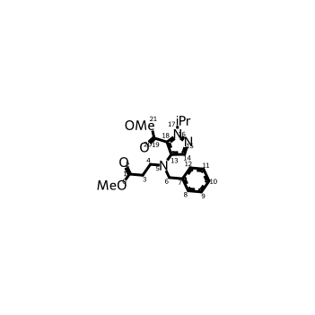 COC(=O)CCN(Cc1ccccc1)c1cnn(C(C)C)c1C(=O)OC